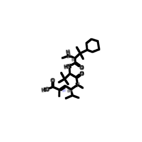 CN[C@H](C(=O)NC(C(=O)N(C)[C@H](/C=C(\C)C(=O)O)C(C)C)C(C)(C)C)C(C)(C)C1CCCCC1